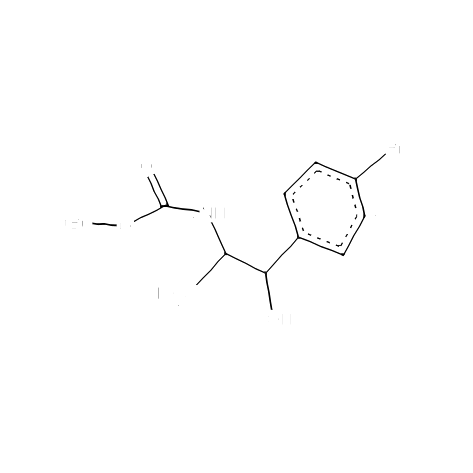 CC(C)(C)OC(=O)NC(C(=O)O)C(O)c1ccc(Br)cc1